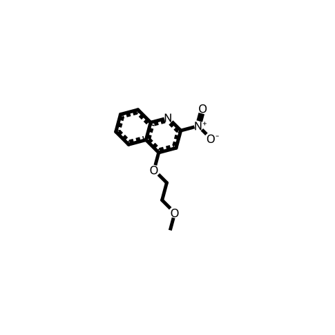 COCCOc1cc([N+](=O)[O-])nc2ccccc12